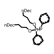 CCCCCCCCCCCCCO[PH](OCCCCCCCCCCCCC)(Oc1ccccc1)c1ccccc1